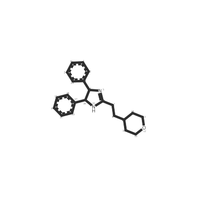 c1ccc(C2N=C(CCC3CCOCC3)NC2c2ccccc2)cc1